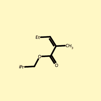 CCC=C(C)C(=O)OCC(C)C